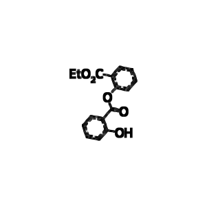 CCOC(=O)c1ccccc1OC(=O)c1ccccc1O